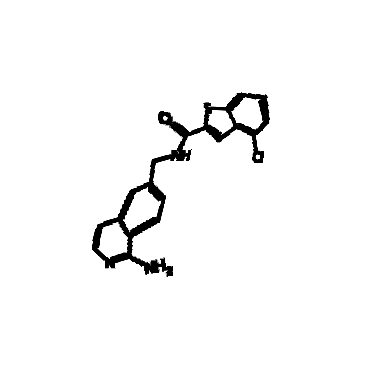 Nc1nccc2cc(CNC(=O)c3cc4c(Cl)cccc4s3)ccc12